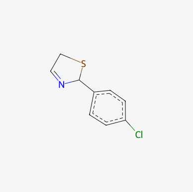 Clc1ccc(C2N=CCS2)cc1